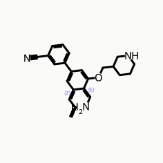 C=C/C=c1/cc(-c2cccc(C#N)c2)cc(OCC2CCCNC2)/c1=C/N